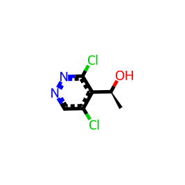 C[C@H](O)c1c(Cl)cnnc1Cl